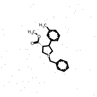 COC(=O)[C@H]1CN(Cc2ccccc2)CC1c1cccc(C)c1